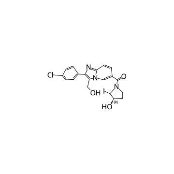 O=C(c1ccc2nc(-c3ccc(Cl)cc3)c(CO)n2c1)N1CC[C@@H](O)C1I